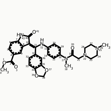 COC(=O)c1ccc2c(c1)/C(=C(/Nc1ccc(N(C)C(=O)CN3CCN(C)CC3)cc1)c1ccc3c(c1)OCO3)C(=O)N2